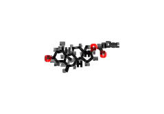 C=C1C[C@@H]2[C@H](CC[C@]3(C)[C@@H](OC(=O)CCCCCCCCCC)CC[C@@H]23)[C@@]2(C)C(C)=CC(=O)C=C12